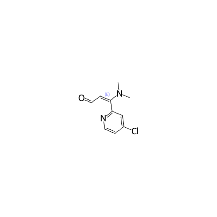 CN(C)/C(=C/C=O)c1cc(Cl)ccn1